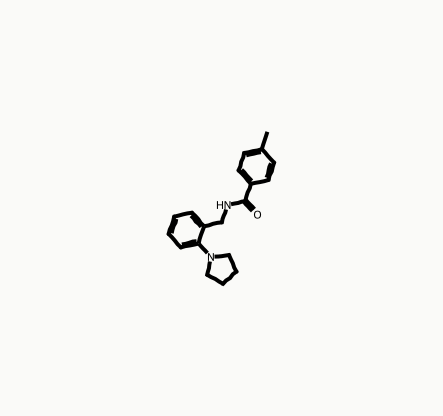 Cc1ccc(C(=O)NCc2ccccc2N2CCCC2)cc1